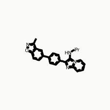 Cc1noc2ccc(-c3ccc(-c4nc5ccccn5c4NC(C)C)cc3)cc12